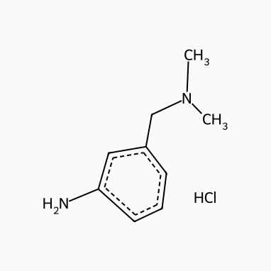 CN(C)Cc1cccc(N)c1.Cl